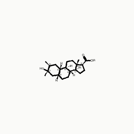 C[C@H]1C[C@H]2[C@H](CC[C@@H]3[C@@H]2CC[C@]2(C)[C@@H](C(=O)O)CC[C@@H]32)C[C@]1(C)O